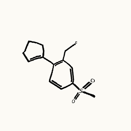 CS(=O)(=O)c1ccc(C2=CCCC2)c(CF)c1